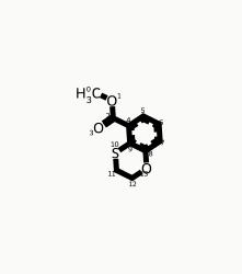 COC(=O)c1cccc2c1SCCO2